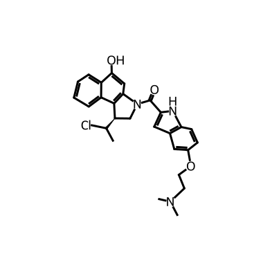 CC(Cl)[C@@H]1CN(C(=O)c2cc3cc(OCCN(C)C)ccc3[nH]2)c2cc(O)c3ccccc3c21